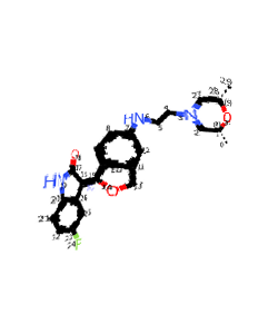 C[C@@H]1CN(CCNc2ccc3c(c2)CO/C3=C2/C(=O)Nc3ccc(F)cc32)C[C@H](C)O1